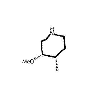 CO[C@@H]1CNCC[C@@H]1F